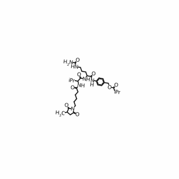 CC(C)C(=O)OCc1ccc(NC(=O)C(CCCNC(N)=O)NC(=O)C(NC(=O)CCCCCN2C(=O)CC(C)C2=O)C(C)C)cc1